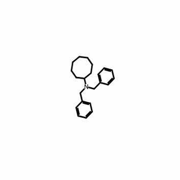 c1ccc(CN(Cc2ccccc2)C2CCCCCCC2)cc1